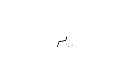 CCCCl.[NaH]